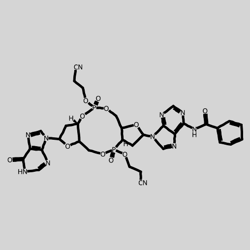 N#CCCOP1(=O)OCC2OC(n3cnc4c(NC(=O)c5ccccc5)ncnc43)C[C@@H]2P(=O)(OCCC#N)OCC2OC(n3cnc4c(=O)[nH]cnc43)C[C@@H]2O1